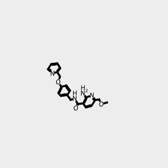 COCc1ccc(C(=O)NCc2ccc(OCc3ccccn3)cc2)c(N)n1